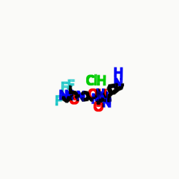 Cl.O=C(CC(C(F)F)n1ccc(F)n1)N1CCC(O)(Cn2cnn3c(-c4ccc5[nH]ccc5c4)cnc3c2=O)CC1